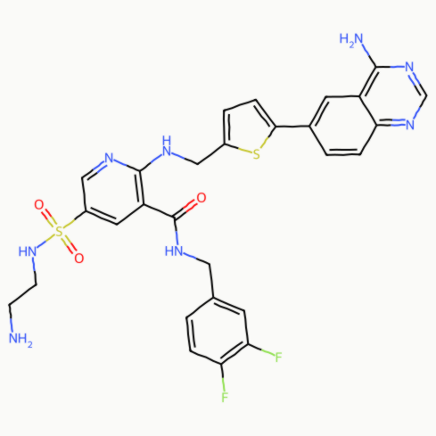 NCCNS(=O)(=O)c1cnc(NCc2ccc(-c3ccc4ncnc(N)c4c3)s2)c(C(=O)NCc2ccc(F)c(F)c2)c1